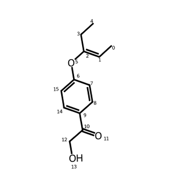 CC=C(CC)Oc1ccc(C(=O)CO)cc1